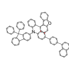 c1ccc(C2(c3ccccc3)c3ccccc3-c3ccc(N(c4ccc(-c5ccc(-c6cccc7ccccc67)cc5)cc4)c4ccccc4-c4cccc5oc6ccccc6c45)cc32)cc1